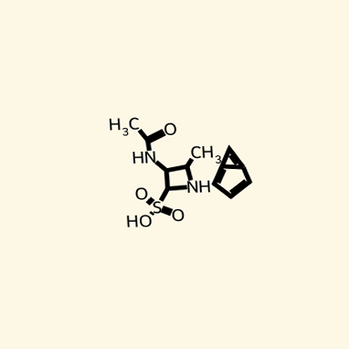 CC(=O)NC1C(C)NC1S(=O)(=O)O.c1cc2cc-2c1